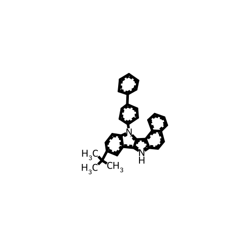 CC(C)(C)c1ccc2c(c1)c1[nH]c3ccc4ccccc4c3c1n2-c1ccc(-c2ccccc2)cc1